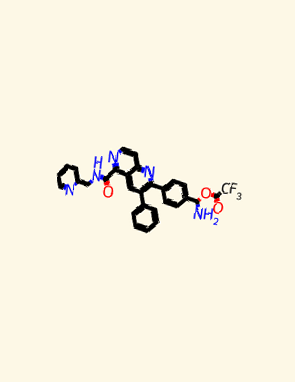 NC(OC(=O)C(F)(F)F)c1ccc(-c2nc3ccnc(C(=O)NCc4ccccn4)c3cc2-c2ccccc2)cc1